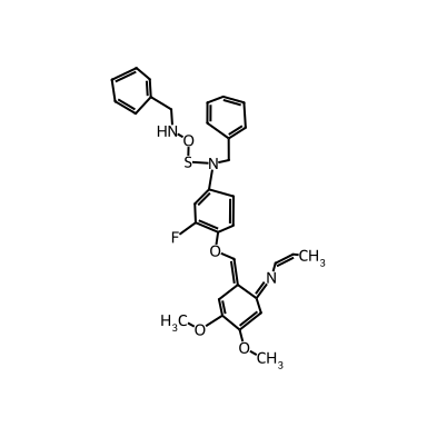 C\C=C/N=C1/C=C(OC)C(OC)=C/C1=C\Oc1ccc(N(Cc2ccccc2)SONCc2ccccc2)cc1F